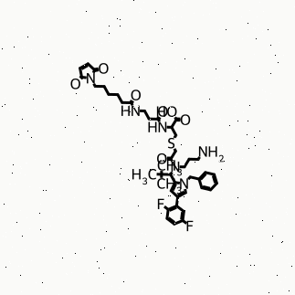 CC(C)(C)C(c1cc(-c2cc(F)ccc2F)cn1Cc1ccccc1)N(CCCN)C(=O)CSCC(NC(=O)CCNC(=O)CCCCCN1C(=O)C=CC1=O)C(=O)O